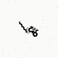 CCCCCCC1COC2(CC(C)(C)N(OC(C)c3ccccc3)C(C)(C)C2)O1